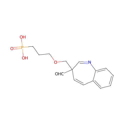 O=CC1(COCCCP(=O)(O)O)C=Cc2ccccc2N=C1